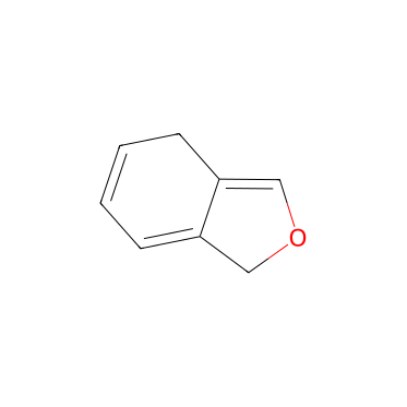 C1=CCC2=COCC2=C1